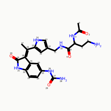 CC(=O)NC(CCN)C(=O)NCc1c[nH]c(/C(C)=C2/C(=O)Nc3ccc(NC(N)=O)cc32)c1